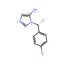 C[C@H](c1ccc(Cl)cc1)n1cncc1N